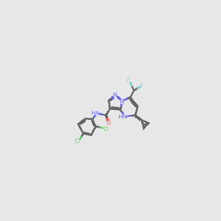 O=C(Nc1ccc(Cl)cc1Cl)c1cnn2c1NC(=C1C=C1)C=C2C(F)F